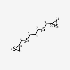 C(CSCC1CS1)CSCC1CS1